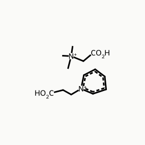 C[N+](C)(C)CC(=O)O.O=C(O)CC[n+]1ccccc1